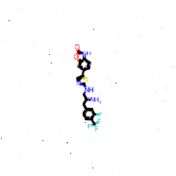 NC(CNc1ncc(-c2ccc3[nH]c(=O)oc3c2)s1)Cc1ccc(C(F)(F)F)c(F)c1